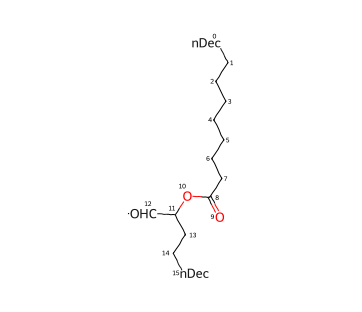 CCCCCCCCCCCCCCCCCC(=O)OC([C]=O)CCCCCCCCCCCC